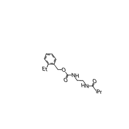 CCc1ccccc1COC(=O)NCCNC(=O)C(C)C